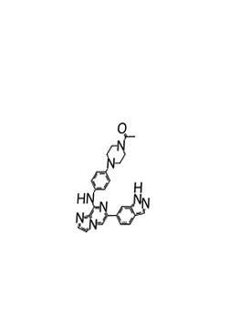 CC(=O)N1CCN(c2ccc(Nc3nc(-c4ccc5cn[nH]c5c4)cn4ccnc34)cc2)CC1